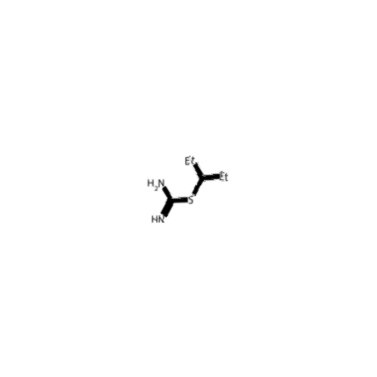 CCC(CC)SC(=N)N